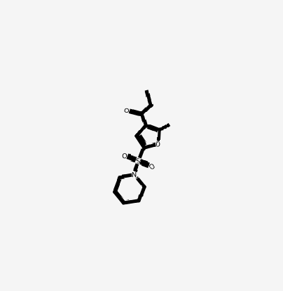 CCC(=O)c1cc(S(=O)(=O)N2CCCCC2)oc1C